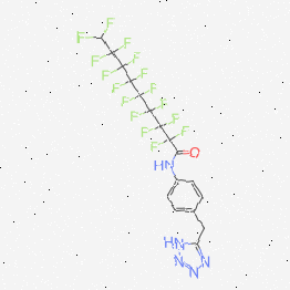 O=C(Nc1ccc(Cc2nnn[nH]2)cc1)C(F)(F)C(F)(F)C(F)(F)C(F)(F)C(F)(F)C(F)(F)C(F)(F)C(F)F